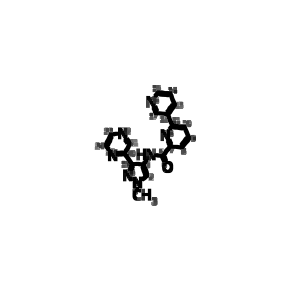 Cn1cc(NC(=O)c2cccc(-c3cccnc3)n2)c(-c2cnccn2)n1